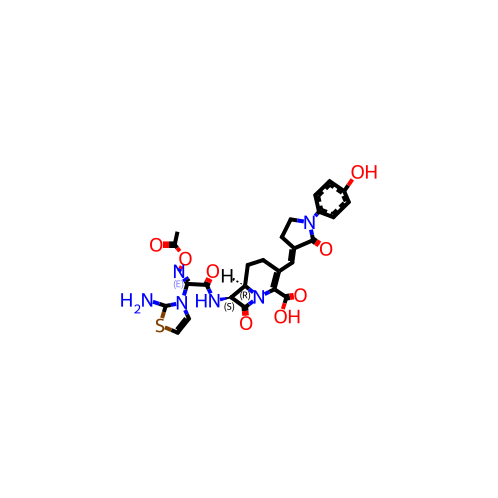 CC(=O)O/N=C(\C(=O)N[C@@H]1C(=O)N2C(C(=O)O)=C(C=C3CCN(c4ccc(O)cc4)C3=O)CC[C@H]12)N1C=CSC1N